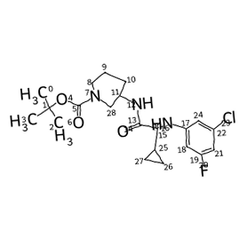 CC(C)(C)OC(=O)N1CCCC(NC(=O)[C@H](Nc2cc(F)cc(Cl)c2)C2CC2)C1